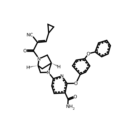 N#CC(=CC1CC1)C(=O)N1C[C@@H]2C[C@H]1CN2c1ccc(C(N)=O)c(Oc2ccc(Oc3ccccc3)cc2)n1